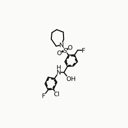 O=S(=O)(c1cc(C(O)Nc2ccc(F)c(Cl)c2)ccc1CF)N1CCCCCC1